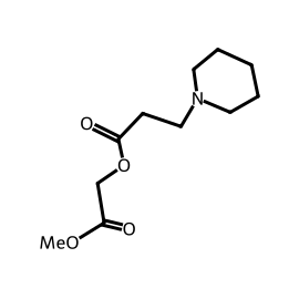 COC(=O)COC(=O)CCN1CCCCC1